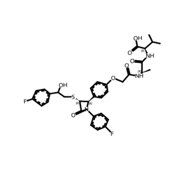 CC(C)[C@@H](NC(=O)[C@@H](C)NC(=O)COc1ccc([C@@H]2[C@@H](SCC(O)c3ccc(F)cc3)C(=O)N2c2ccc(F)cc2)cc1)C(=O)O